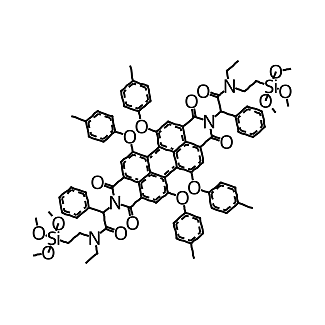 CCN(CC[Si](OC)(OC)OC)C(=O)C(c1ccccc1)N1C(=O)c2cc(Oc3ccc(C)cc3)c3c4c(Oc5ccc(C)cc5)cc5c6c(cc(Oc7ccc(C)cc7)c(c7c(Oc8ccc(C)cc8)cc(c2c37)C1=O)c64)C(=O)N(C(C(=O)N(CC)CC[Si](OC)(OC)OC)c1ccccc1)C5=O